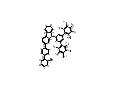 [2H]c1c([2H])c([2H])c(-c2cc(-c3c([2H])c([2H])c([2H])c([2H])c3[2H])cc(-n3c4ccccc4c4ccc(-c5ccc(-c6ccccc6Br)cc5)cc43)c2)c([2H])c1[2H]